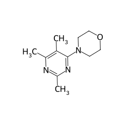 Cc1nc(C)c(C)c(N2CCOCC2)n1